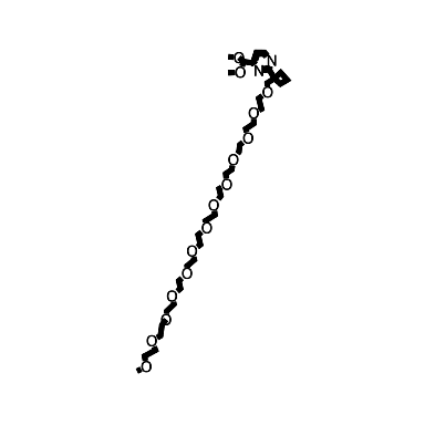 COCCOCCOCCOCCOCCOCCOCCOCCOCCOCCOCCOCCOCC1(c2nccc(C(OC)OC)n2)CCC1